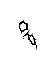 O=C(OC1CCCCC1)c1ccc(CCl)cc1